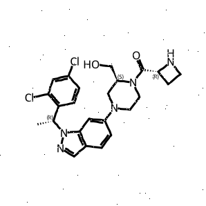 C[C@H](c1ccc(Cl)cc1Cl)n1ncc2ccc(N3CCN(C(=O)[C@H]4CCN4)[C@H](CO)C3)cc21